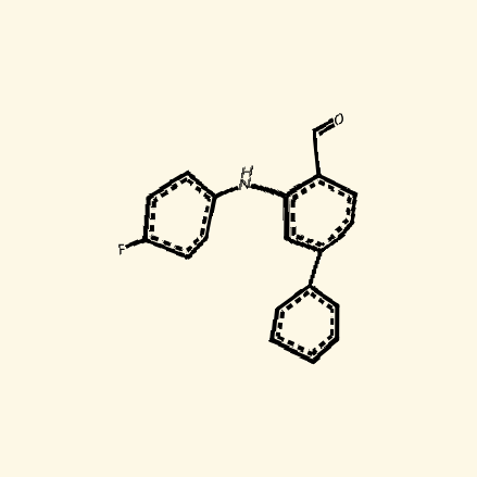 O=Cc1ccc(-c2ccccc2)cc1Nc1ccc(F)cc1